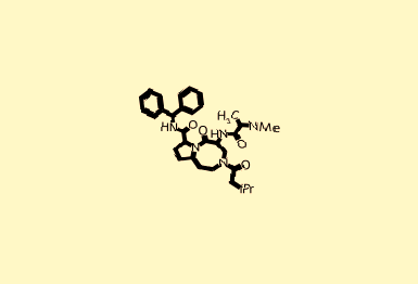 CNC(C)C(=O)NC1CN(C(=O)CC(C)C)CCC2CCC(C(=O)NC(c3ccccc3)c3ccccc3)N2C1=O